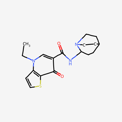 CCn1cc(C(=O)NC2CCC3CCN2CC3)c(=O)c2sccc21